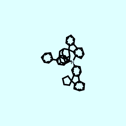 c1ccc(-c2ccc(N(c3ccc4c(c3)C3(CCCC3)c3ccccc3-4)c3cccc4c3C3(c5ccccc5-4)C4CC5CC(C4)CC3C5)cc2)cc1